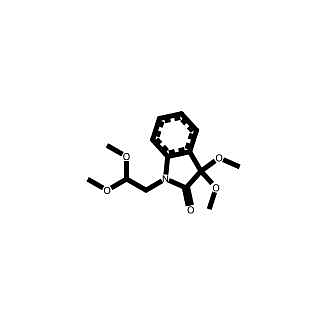 COC(CN1C(=O)C(OC)(OC)c2ccccc21)OC